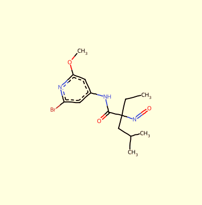 CCC(CC(C)C)(N=O)C(=O)Nc1cc(Br)nc(OC)c1